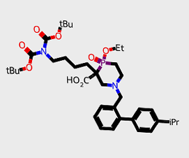 CCOP1(=O)CCN(Cc2ccccc2-c2ccc(C(C)C)cc2)CC1(CCCCN(C(=O)OC(C)(C)C)C(=O)OC(C)(C)C)C(=O)O